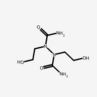 NC(=O)N(CCO)N(CCO)C(N)=O